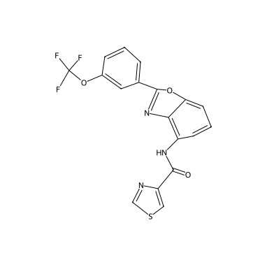 O=C(Nc1cccc2oc(-c3cccc(OC(F)(F)F)c3)nc12)c1cscn1